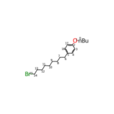 CCCCOc1ccc(CCCCCCCCCBr)cc1